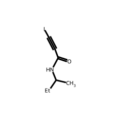 CCC(C)NC(=O)C#CI